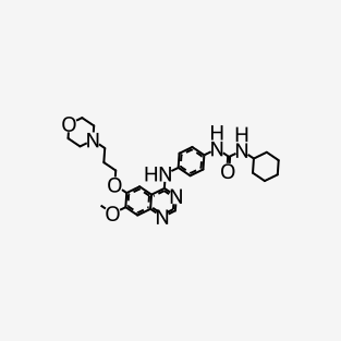 COc1cc2ncnc(Nc3ccc(NC(=O)NC4CCCCC4)cc3)c2cc1OCCCN1CCOCC1